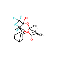 C=CC(=O)OC12CC3CC(C1)C1(OC(C)(C)OC(O)(C(F)(F)F)C1(F)F)C(C3)C2